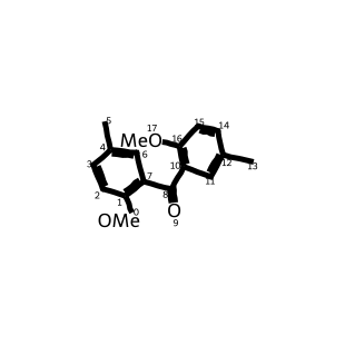 COc1ccc(C)cc1C(=O)c1cc(C)ccc1OC